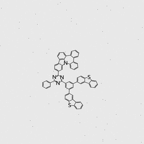 c1ccc(-c2nc(-c3cc(-c4ccc5sc6ccccc6c5c4)cc(-c4ccc5sc6ccccc6c5c4)c3)nc(-c3ccc4c5cccc6c5n(c4c3)-c3ccccc3-c3ccccc3-6)n2)cc1